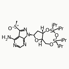 CC(C)[Si]1(C(C)C)OC[C@@H]2O[C@@H](n3nc([S@+](C)[O-])c4c(N)ncnc43)C[C@@H]2O[Si](C(C)C)(C(C)C)O1